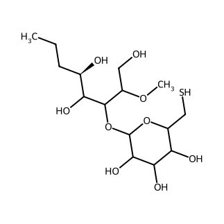 CCC[C@@H](O)C(O)C(OC1OC(CS)C(O)C(O)C1O)C(CO)OC